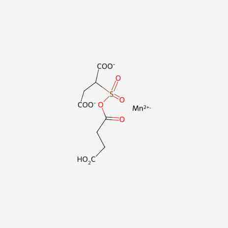 O=C([O-])CC(C(=O)[O-])S(=O)(=O)OC(=O)CCC(=O)O.[Mn+2]